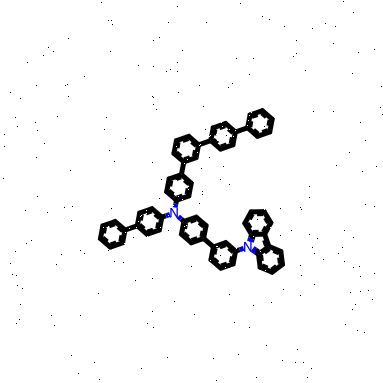 c1ccc(-c2ccc(-c3cccc(-c4ccc(N(c5ccc(-c6ccccc6)cc5)c5ccc(-c6cccc(-n7c8ccccc8c8ccccc87)c6)cc5)cc4)c3)cc2)cc1